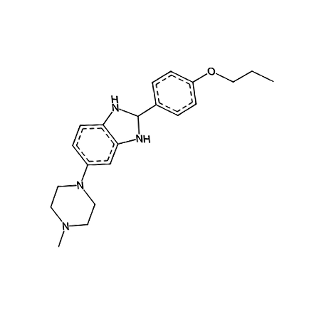 CCCOc1ccc(C2Nc3ccc(N4CCN(C)CC4)cc3N2)cc1